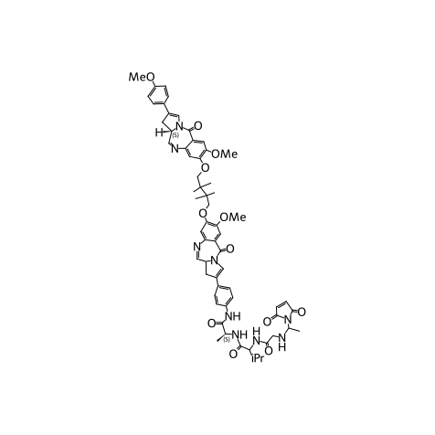 COc1ccc(C2=CN3C(=O)c4cc(OC)c(OCC(C)(C)C(C)(C)COc5cc6c(cc5OC)C(=O)N5C=C(c7ccc(NC(=O)[C@H](C)NC(=O)C(NC(=O)CNC(C)N8C(=O)C=CC8=O)C(C)C)cc7)CC5C=N6)cc4N=C[C@@H]3C2)cc1